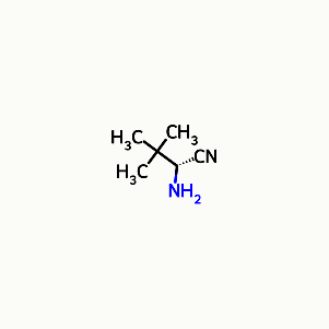 CC(C)(C)[C@@H](N)C#N